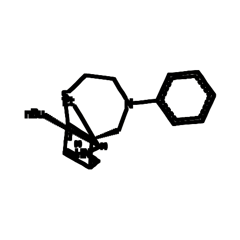 CCCC[C@]1(CC)NC=C2C=CC=C3SCCN(c4ccccc4)C[C@]231